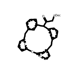 CCCCCCCCCCCC(=O)C1c2cccc(c2)Cc2cccc(c2)Cc2cccc(c2)Cc2cccc1c2